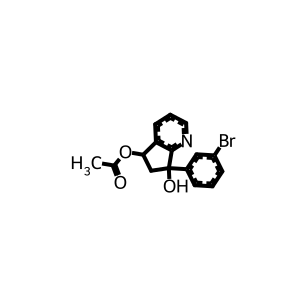 CC(=O)OC1CC(O)(c2cccc(Br)c2)c2ncccc21